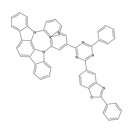 c1ccc(-c2nc(-c3cccc(-n4c5ccccc5c5ccc6c7ccccc7n(-c7ccccc7)c6c54)c3)nc(-c3ccc4oc(-c5ccccc5)nc4c3)n2)cc1